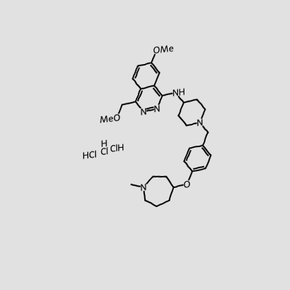 COCc1nnc(NC2CCN(Cc3ccc(OC4CCCN(C)CC4)cc3)CC2)c2cc(OC)ccc12.Cl.Cl.Cl